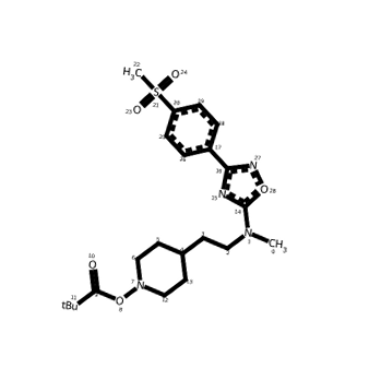 CN(CCC1CCN(OC(=O)C(C)(C)C)CC1)c1nc(-c2ccc(S(C)(=O)=O)cc2)no1